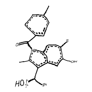 Cc1ccc(C(=O)n2c(C)c(C(C(=O)O)C(C)C)c3cc(O)c(F)cc32)cc1